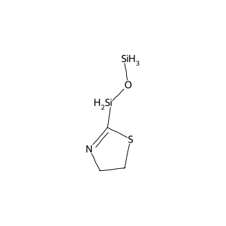 [SiH3]O[SiH2]C1=NCCS1